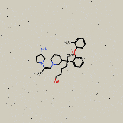 COC(CCCCO)(c1ccccc1Oc1ccccc1C)C1CCCN(C=C(N2CC[C@H](N)C2)[N+](=O)[O-])C1